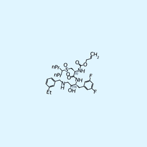 C=CCOC(=O)N[C@H](CS(=O)(=O)C(CCC)CCC)C(=O)N[C@@H](Cc1cc(F)cc(F)c1)[C@H](O)CNCc1cccc(CC)c1